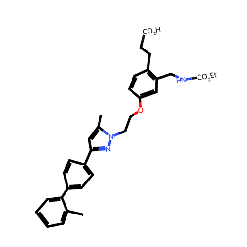 CCOC(=O)NCc1cc(OCCn2nc(-c3ccc(-c4ccccc4C)cc3)cc2C)ccc1CCC(=O)O